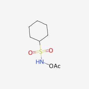 CC(=O)ONS(=O)(=O)C1CCCCC1